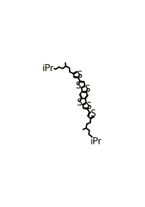 CC(C)CCCC(C)CCc1csc(-c2cc3sc4cc5c(cc4c3s2)sc2cc(-c3cc(CCC(C)CCCC(C)C)cs3)sc25)c1